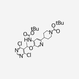 CC(Oc1cnc(C2CCN(C(=O)OC(C)(C)C)CC2)cc1NC(=O)OC(C)(C)C)c1c(Cl)ncnc1Cl